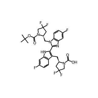 CC(C)(C)OC(=O)N1CC(F)(F)C[C@H]1Cn1c(-c2[nH]c3cc(F)ccc3c2C[C@@H]2CC(F)(F)CN2C(=O)O)nc2cc(F)ccc21